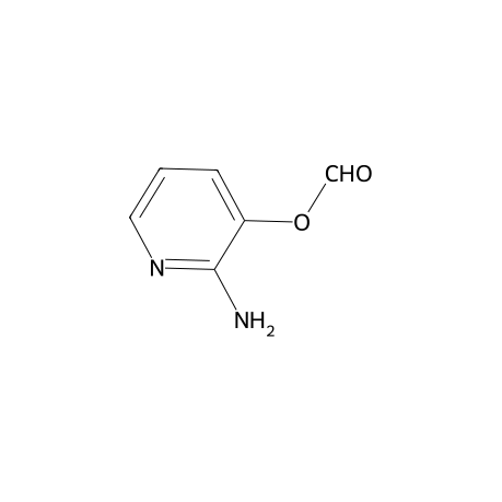 Nc1ncccc1OC=O